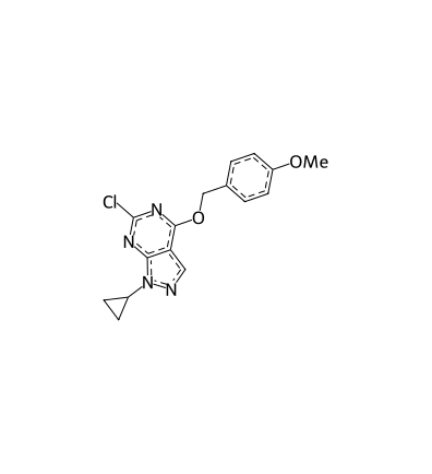 COc1ccc(COc2nc(Cl)nc3c2cnn3C2CC2)cc1